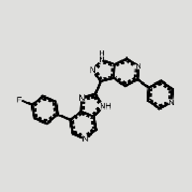 Fc1ccc(-c2cncc3[nH]c(-c4n[nH]c5cnc(-c6ccncc6)cc45)nc23)cc1